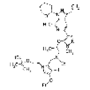 C=Cc1nn(C2CCCCO2)c2c(C)nc(-c3cnn(C)c3O[C@H](C)CN(CC)Cc3c(I)c(OCC)nn3CCO[Si](C)(C)C(C)(C)C)cc12